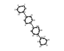 c1ccc(-c2ccc(-c3ccc(-c4ccccc4)cn3)cc2)cc1